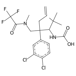 C=CCC(CN(C)C(=O)C(F)(F)F)(c1ccc(Cl)c(Cl)c1)C(NC(=O)O)C(C)(C)C